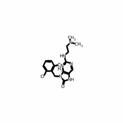 Cc1cccc(Cl)c1Cn1c(=O)[nH]c2cnc(NCCN(C)C)nc21